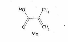 C=C(C)C(=O)O.[Mo]